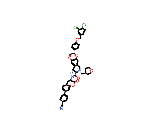 N#Cc1ccc(-c2ccc(CC(NC(=O)[C@@H]3Cc4cc5c(cc4CN3CC3CCOCC3)O[C@@H](c3ccc(OCc4ccc(Cl)c(Cl)c4)cc3)CO5)C(=O)O)cc2)cc1